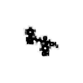 CCN(C(=O)CCCCc1nnnn1-c1ccccc1)C1CCC(O)CC1